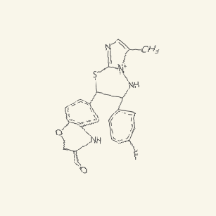 CC1=CN=C2SC(c3ccc4c(c3)NC(=O)CO4)C(c3ccc(F)cc3)N[N+]12